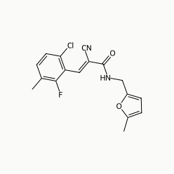 Cc1ccc(CNC(=O)/C(C#N)=C/c2c(Cl)ccc(C)c2F)o1